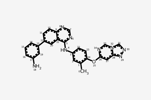 Cc1cc(Nc2ncnc3ccc(-c4cccc(N)c4)cc23)ccc1Oc1cc2nncn2cn1